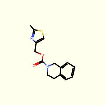 Cc1nc(COC(=O)N2CCc3ccccc3C2)cs1